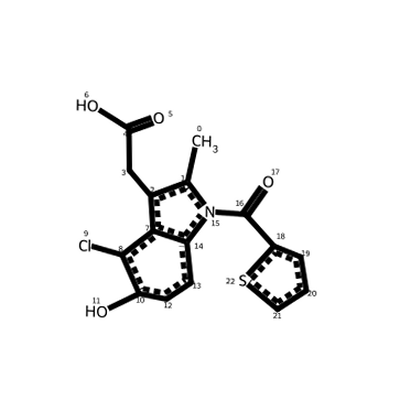 Cc1c(CC(=O)O)c2c(Cl)c(O)ccc2n1C(=O)c1cccs1